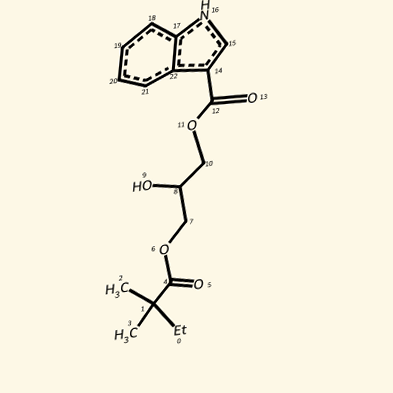 CCC(C)(C)C(=O)OCC(O)COC(=O)c1c[nH]c2ccccc12